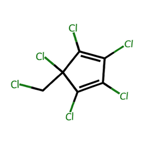 ClCC1(Cl)C(Cl)=C(Cl)C(Cl)=C1Cl